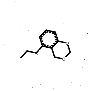 C[CH]Cc1cccc2c1COCO2